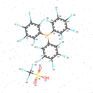 Fc1c(F)c(F)c(P(c2c(F)c(F)c(F)c(F)c2F)c2c(F)c(F)c(F)c(F)c2F)c(F)c1F.O=S(=O)(O)C(F)(F)F